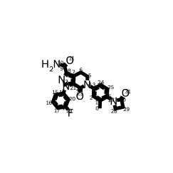 Cc1cc(N2CCc3c(C(N)=O)nn(-c4cccc(F)c4)c3C2=O)ccc1N1CCC1=O